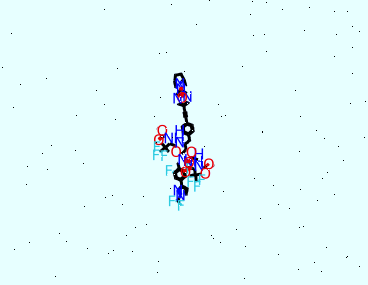 COC(=O)NC(C(=O)NC(Cc1ccc(C#Cc2cnc(N3CC4CCC(C3)N4C3COC3)nc2)cc1)C(CN(Cc1c(F)cc(-c2ccn(C(F)F)n2)cc1F)NC(=O)C(NC(=O)OC)C(C)(C)C(F)(F)F)OC(C)=O)C(C)(C)C(F)(F)F